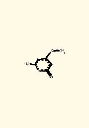 COc1[c]c(=O)oc(C)c1